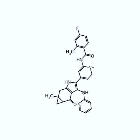 Cc1cc(F)ccc1C(=O)NC1=CC(c2[nH]c3c(c2Nc2ccccc2)C(=O)C2CC2(C)C3)=CCN1